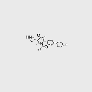 CC1=C(C2CCNC2)C(=O)N(C)C(c2ccc(-c3ccc(F)cc3)cc2)N1C(=O)C1CC1